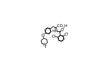 CN1CCC(Oc2ccc(C[C@H](NC(=O)c3c(Cl)cccc3Cl)C(=O)O)cc2)CC1